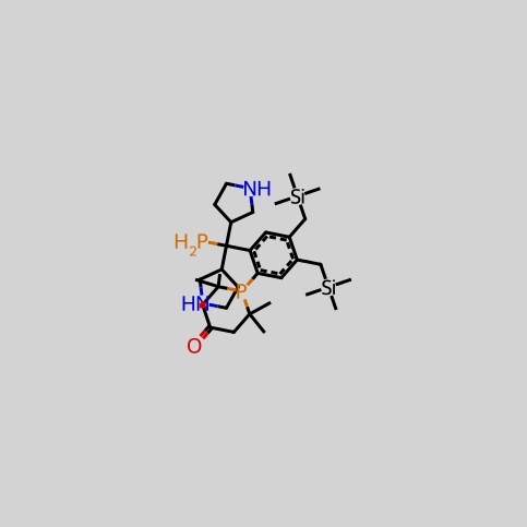 CC1(C)CC(=O)CC(C)(C)P1c1cc(C[Si](C)(C)C)c(C[Si](C)(C)C)cc1C(P)(C1CCNC1)C1CCNC1